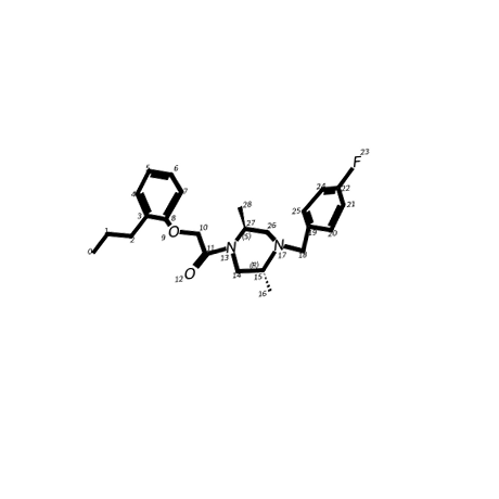 CCCc1ccccc1OCC(=O)N1C[C@@H](C)N(Cc2ccc(F)cc2)C[C@@H]1C